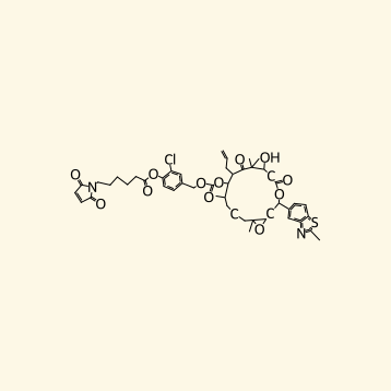 C=CCC1C(=O)C(C)(C)C(O)CC(=O)OC(c2ccc3sc(C)nc3c2)CC2OC2(C)CCCC(C)C1OC(=O)OCc1ccc(OC(=O)CCCCCN2C(=O)C=CC2=O)c(Cl)c1